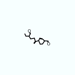 C=C(CCC(C=O)CC)C1C=CC(C=O)CC1